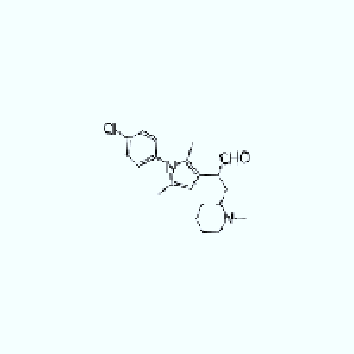 Cc1cc(C(C=O)CC2CCCCN2C)c(C)n1-c1ccc(Cl)cc1